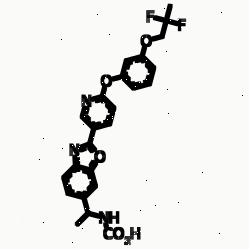 CC(NC(=O)O)c1ccc2nc(-c3ccc(Oc4cccc(OCC(C)(F)F)c4)nc3)oc2c1